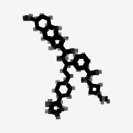 CN1CC(NC(=O)c2cccc([C@@H](CCN3CCC(c4nnn[nH]4)CC3)NC(=O)c3nc4cc5c(nc4s3)CC[C@H](C(C)(C)C)C5)c2)C1